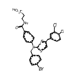 O=C(O)CCNC(=O)c1ccc(N(Cc2ccc(Br)cc2)c2nc(-c3ccc(Cl)c(Cl)c3)cs2)cc1